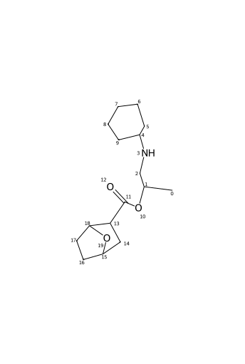 CC(CNC1CCCCC1)OC(=O)C1CC2CCC1O2